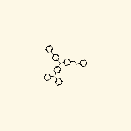 C1=CC(N(c2ccccc2)c2ccccc2)CC=C1N(c1ccc(CCc2ccccc2)cc1)c1ccc(-c2ccccc2)cc1